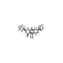 Fc1cc(N2CCOCC2)cc2c1Nc1ccc(N3CCCC3)cc1S2